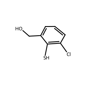 OCc1cccc(Cl)c1S